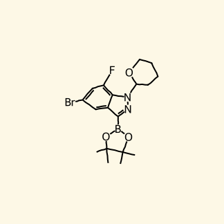 CC1(C)OB(c2nn(C3CCCCO3)c3c(F)cc(Br)cc23)OC1(C)C